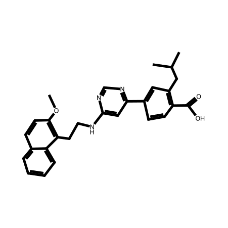 COc1ccc2ccccc2c1CCNc1cc(-c2ccc(C(=O)O)c(CC(C)C)c2)ncn1